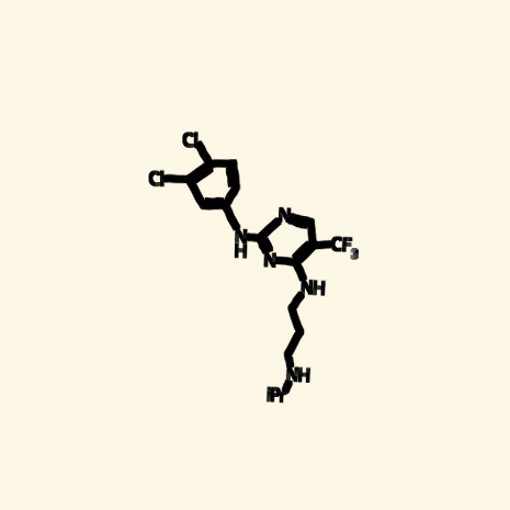 CC(C)NCCCNc1nc(Nc2ccc(Cl)c(Cl)c2)ncc1C(F)(F)F